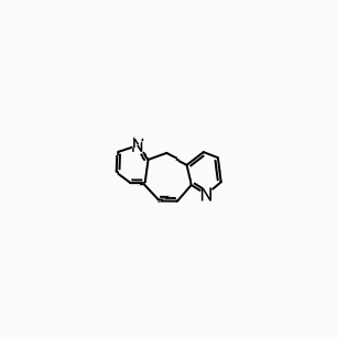 C1=Cc2ncccc2Cc2ncccc21